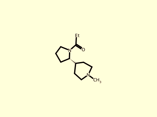 CCC(=O)N1CCC[C@H]1C1CCN(C)CC1